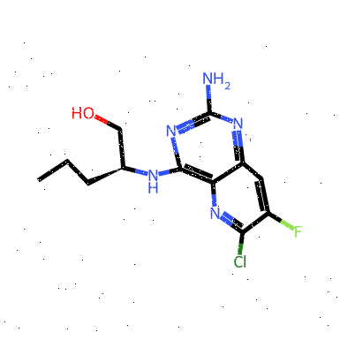 CCC[C@@H](CO)Nc1nc(N)nc2cc(F)c(Cl)nc12